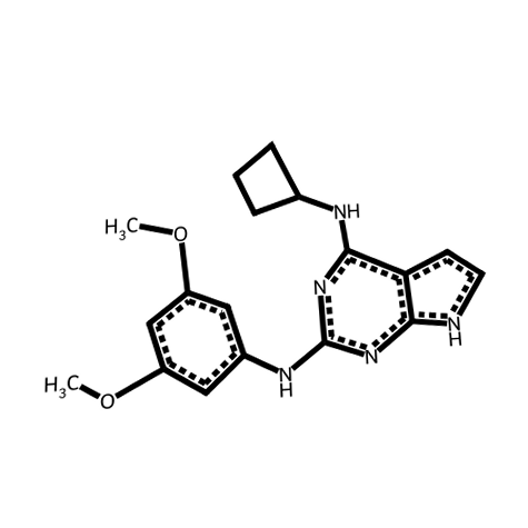 COc1cc(Nc2nc(NC3CCC3)c3cc[nH]c3n2)cc(OC)c1